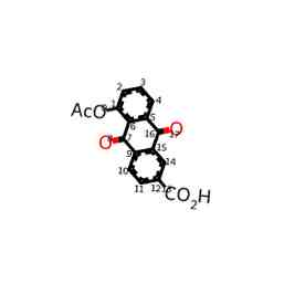 CC(=O)Oc1cccc2c1C(=O)c1ccc(C(=O)O)cc1C2=O